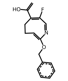 C=C(O)/C1=C(F)/C=N\C(OCc2ccccc2)=C\CC1